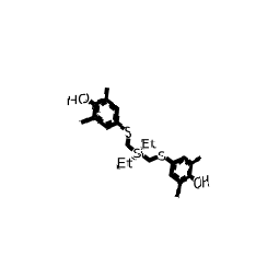 CC[Si](CC)(CSc1cc(C)c(O)c(C)c1)CSc1cc(C)c(O)c(C)c1